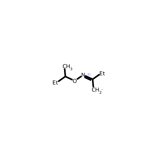 [CH2]/C(CC)=N\OC(C)CC